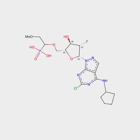 COCC(OC[C@H]1O[C@@H](n2ncc3c(NC4CCCC4)nc(Cl)nc32)[C@@H](F)[C@@H]1O)P(=O)(O)O